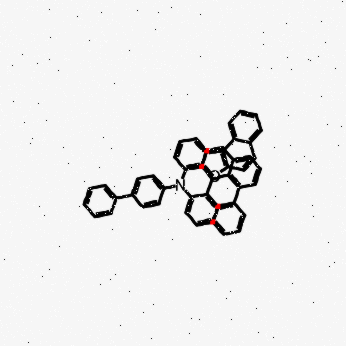 c1ccc(-c2ccc(N(c3ccccc3-c3cccc4cccc(-c5ccccc5)c34)c3cccc4c3oc3ccc5ccccc5c34)cc2)cc1